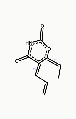 C=C/C=c1/c(=O)[nH]c(=O)o/c1=C/C